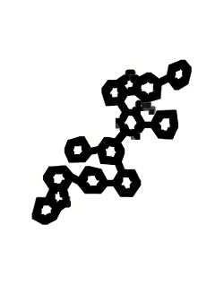 C=C1C(c2ccccc2)=NC(c2cc(-c3ccccc3)cc(-c3ccccc3-c3ccc(-c4cccc5c4sc4ccccc45)cc3)c2)=NC1c1cccc2oc3cc(-c4ccccc4)ccc3c12